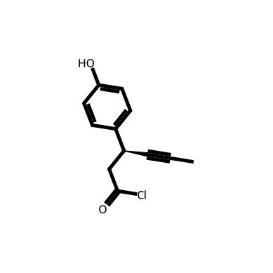 CC#C[C@@H](CC(=O)Cl)c1ccc(O)cc1